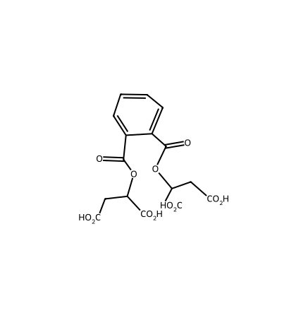 O=C(O)CC(OC(=O)c1ccccc1C(=O)OC(CC(=O)O)C(=O)O)C(=O)O